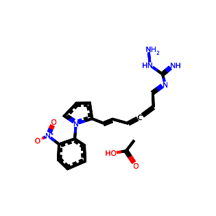 CC(=O)O.N=C(N=CC=C=CC=Cc1cccn1-c1ccccc1[N+](=O)[O-])NN